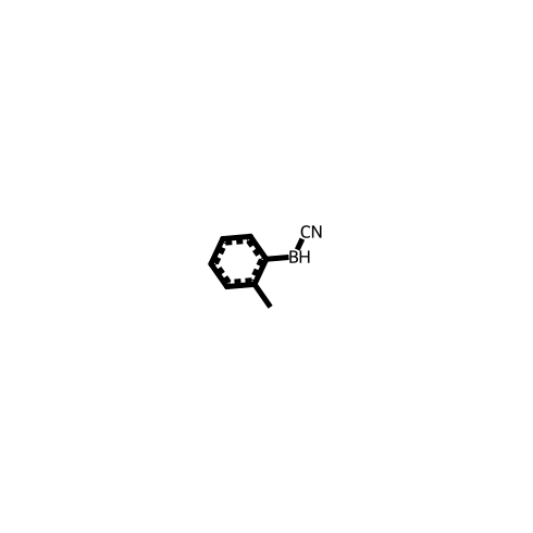 Cc1ccccc1BC#N